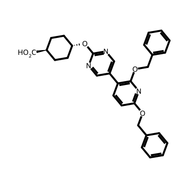 O=C(O)[C@H]1CC[C@H](Oc2ncc(-c3ccc(OCc4ccccc4)nc3OCc3ccccc3)cn2)CC1